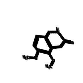 COc1ccc2c(c1OC)CC(=O)NC2